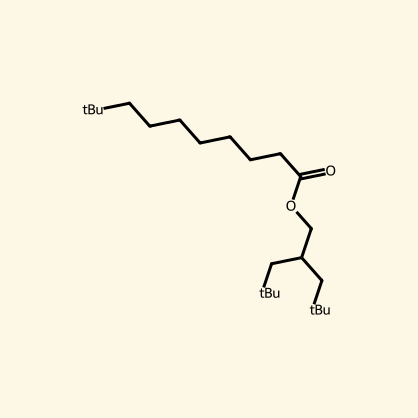 CC(C)(C)CCCCCCCC(=O)OCC(CC(C)(C)C)CC(C)(C)C